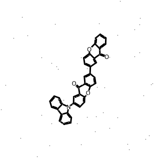 O=c1c2ccccc2oc2ccc(-c3ccc4oc5ccc(-n6c7ccccc7c7ccccc76)cc5c(=O)c4c3)cc12